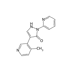 Cc1ccncc1-c1c[nH]n(-c2ccccn2)c1=O